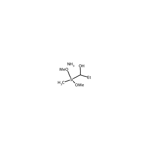 CCC(O)[Si](C)(OC)OC.N